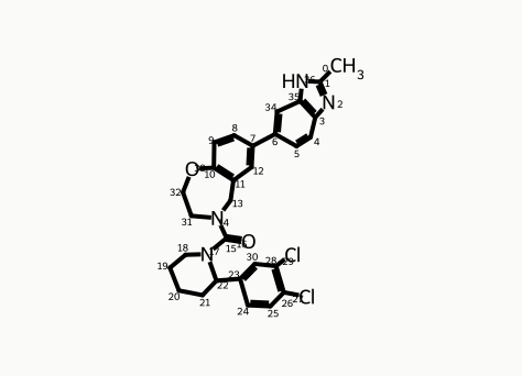 Cc1nc2ccc(-c3ccc4c(c3)CN(C(=O)N3CCCCC3c3ccc(Cl)c(Cl)c3)CCO4)cc2[nH]1